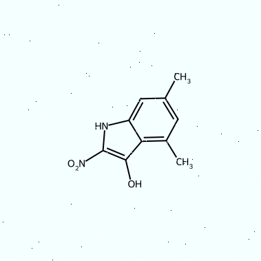 Cc1cc(C)c2c(O)c([N+](=O)[O-])[nH]c2c1